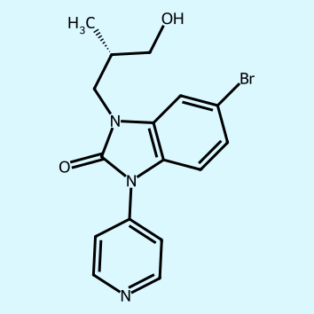 C[C@H](CO)Cn1c(=O)n(-c2ccncc2)c2ccc(Br)cc21